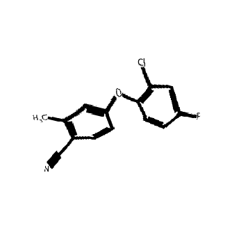 Cc1cc(Oc2ccc(F)cc2Cl)ccc1C#N